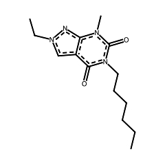 CCCCCCn1c(=O)c2cn(CC)nc2n(C)c1=O